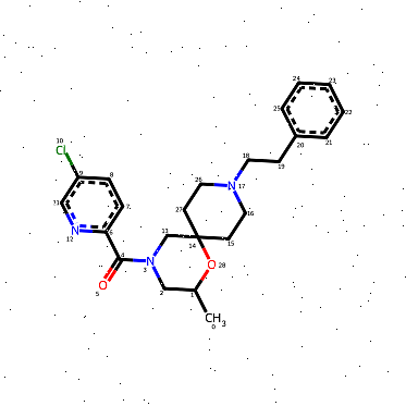 CC1CN(C(=O)c2ccc(Cl)cn2)CC2(CCN(CCc3ccccc3)CC2)O1